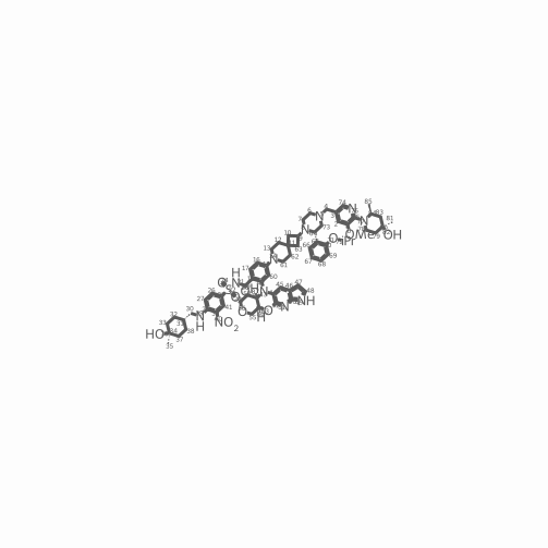 COc1cc(CN2CCN(C3CC4(CCN(c5ccc(C(=O)NS(=O)(=O)c6ccc(NC[C@H]7CC[C@](C)(O)CC7)c([N+](=O)[O-])c6)c(N6c7cc8cc[nH]c8nc7O[C@H]7COCC[C@@H]76)c5)CC4)C3)[C@@H](c3ccccc3OC(C)C)C2)cnc1N1CC[C@](C)(O)C[C@@H]1C